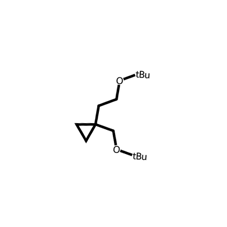 CC(C)(C)OCCC1(COC(C)(C)C)CC1